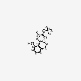 CN(CC1OCCc2cccc(O)c21)C(=O)OC(C)(C)C